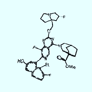 CCc1c(F)ccc2cc(O)cc(-c3ncc4c(N5CC6CCC(C(=O)OC)(C6)C5)nc(OC[C@@]56CCCN5C[C@H](F)C6)nc4c3F)c12